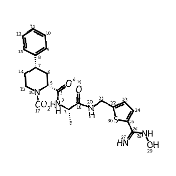 C[C@H](NC(=O)[C@H]1C[C@@H](c2ccccc2)CCN1C(=O)O)C(=O)NCc1ccc(C(=N)NO)s1